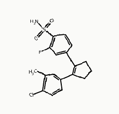 Cc1cc(C2=C(c3ccc(S(N)(=O)=O)c(F)c3)CCC2)ccc1Cl